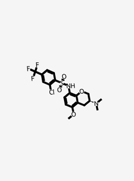 COc1ccc(NS(=O)(=O)c2ccc(C(F)(F)F)cc2Cl)c2c1C[C@@H](N(C)C)CO2